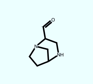 O=[C]C1CNC2CCN1C2